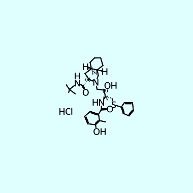 Cc1c(O)cccc1C(=O)N[C@@H](CSc1ccccc1)[C@H](O)CN1C[C@H]2CCCC[C@H]2C[C@H]1C(=O)NC(C)(C)C.Cl